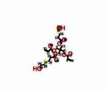 C=CC(=O)OCC(COC(=O)C=C)(COC(=O)CCSO)COC(=O)CCSCCO